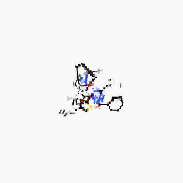 Cc1csc([C@H](CCN2[C@@H]3CC[C@H]2C[C@H](n2c(C)nnc2C(C)C)C3)NC(=O)C2CCCCC2)c1C